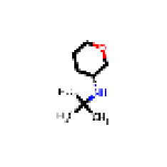 CC(C)(C)N[C@@H]1CCCOC1